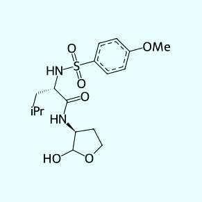 COc1ccc(S(=O)(=O)N[C@@H](CC(C)C)C(=O)N[C@H]2CCOC2O)cc1